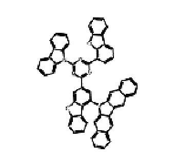 c1ccc2cc3c(cc2c1)c1cc2ccccc2cc1n3-c1cc(-c2nc(-c3cccc4c3oc3ccccc34)nc(-n3c4ccccc4c4ccccc43)n2)cc2oc3ccccc3c12